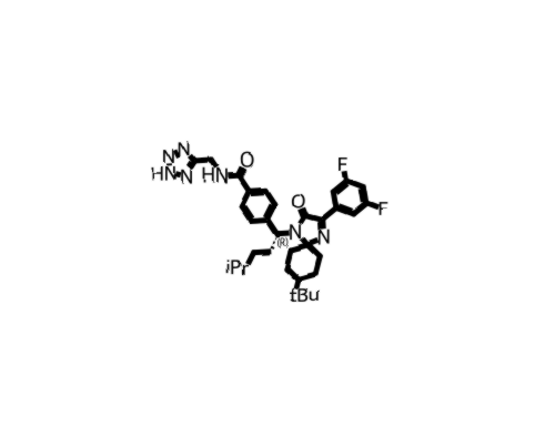 CC(C)CC[C@H](c1ccc(C(=O)NCc2nn[nH]n2)cc1)N1C(=O)C(c2cc(F)cc(F)c2)=NC12CCC(C(C)(C)C)CC2